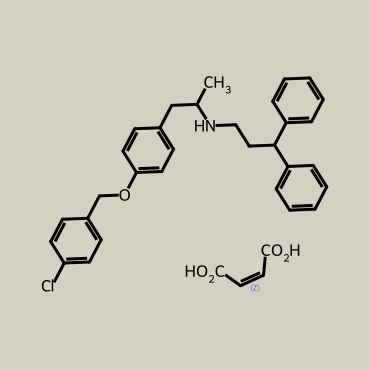 CC(Cc1ccc(OCc2ccc(Cl)cc2)cc1)NCCC(c1ccccc1)c1ccccc1.O=C(O)/C=C\C(=O)O